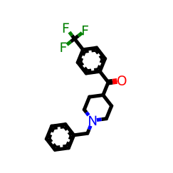 O=C(c1ccc(C(F)(F)F)cc1)C1CCN(Cc2ccccc2)CC1